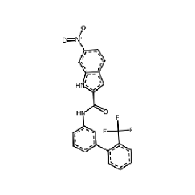 O=C(Nc1cccc(-c2ccccc2C(F)(F)F)c1)c1cc2ccc([N+](=O)[O-])cc2[nH]1